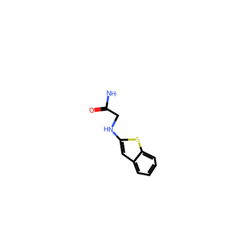 [NH]C(=O)CNc1cc2ccccc2s1